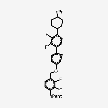 CCCCCc1ccc(COc2ccc(-c3ccc(C4CCC(CCC)CC4)c(F)c3F)cc2)c(F)c1F